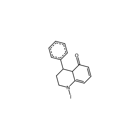 O=C1C=CC=C2C1C(c1ccccc1)CCN2I